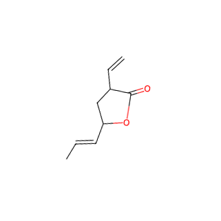 C=CC1CC(C=CC)OC1=O